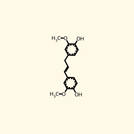 COc1cc(/C=C/Cc2ccc(O)c(OC)c2)ccc1O